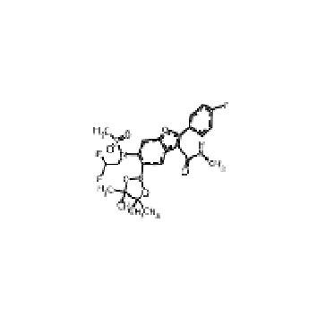 CNC(=O)c1c(-c2ccc(F)cc2)oc2cc(N(CC(F)F)S(C)(=O)=O)c(B3OC(C)(C)C(C)(C)O3)cc12